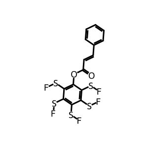 O=C(C=Cc1ccccc1)Oc1c(SF)c(SF)c(SF)c(SF)c1SF